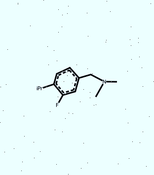 CC(C)c1ccc(CN(C)C)cc1F